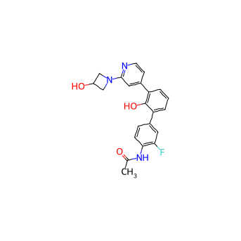 CC(=O)Nc1ccc(-c2cccc(-c3ccnc(N4CC(O)C4)c3)c2O)cc1F